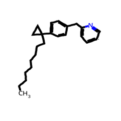 CCCCCCCCCC1(c2ccc(Cc3cc[c]cn3)cc2)CC1